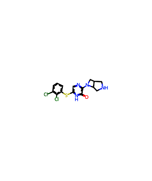 O=c1[nH]c(Sc2cccc(Cl)c2Cl)cnc1N1CC2CNCC21